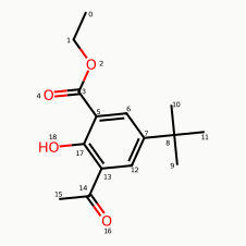 CCOC(=O)c1cc(C(C)(C)C)cc(C(C)=O)c1O